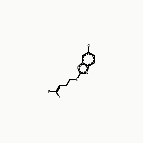 FC(F)=CCCSc1nc2ccc(Cl)cc2s1